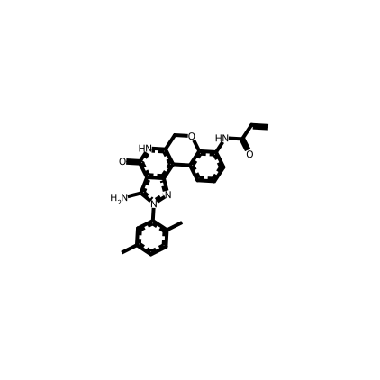 C=CC(=O)Nc1cccc2c1OCc1[nH]c(=O)c3c(N)n(-c4cc(C)ccc4C)nc3c1-2